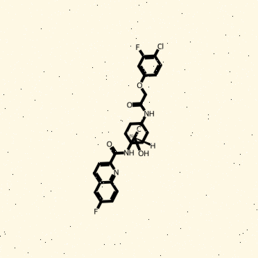 O=C(COc1ccc(Cl)c(F)c1)NC12CCC(NC(=O)c3ccc4cc(F)ccc4n3)(CC1)[C@@H](O)C2